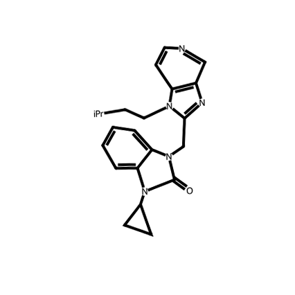 CC(C)CCn1c(Cn2c(=O)n(C3CC3)c3ccccc32)nc2cnccc21